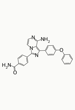 NC(=O)c1ccc(-c2nc(-c3ccc(Oc4ccccc4)cc3)c3c(N)nccn23)cc1